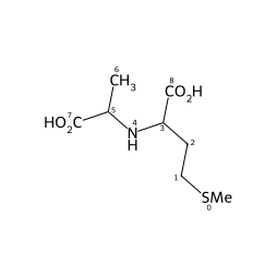 CSCCC(NC(C)C(=O)O)C(=O)O